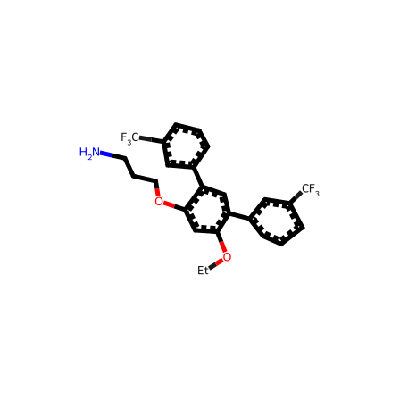 CCOc1cc(OCCCN)c(-c2cccc(C(F)(F)F)c2)cc1-c1cccc(C(F)(F)F)c1